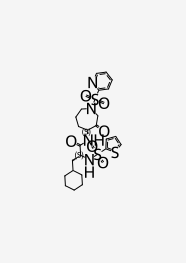 O=C1CN(S(=O)(=O)c2ccccn2)CCC[C@@H]1NC(=O)[C@H](CC1CCCCC1)NS(=O)(=O)c1cccs1